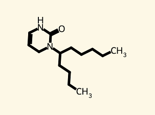 CCCCCC(CCCC)N1CC=CNC1=O